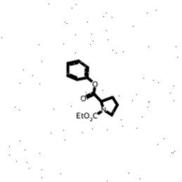 CCOC(=O)N1CCCC1C(=O)Oc1ccccc1